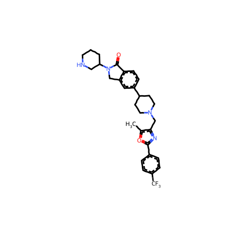 Cc1oc(-c2ccc(C(F)(F)F)cc2)nc1CN1CCC(c2ccc3c(c2)CN(C2CCCNC2)C3=O)CC1